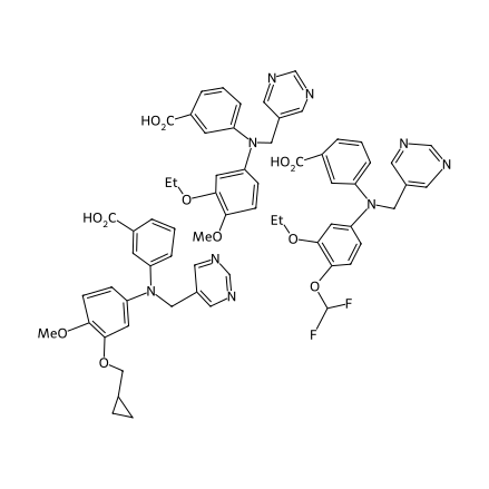 CCOc1cc(N(Cc2cncnc2)c2cccc(C(=O)O)c2)ccc1OC.CCOc1cc(N(Cc2cncnc2)c2cccc(C(=O)O)c2)ccc1OC(F)F.COc1ccc(N(Cc2cncnc2)c2cccc(C(=O)O)c2)cc1OCC1CC1